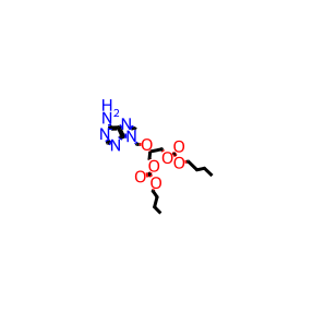 CCCCOC(=O)OCC(COC(=O)OCCCC)OCn1cnc2c(N)ncnc21